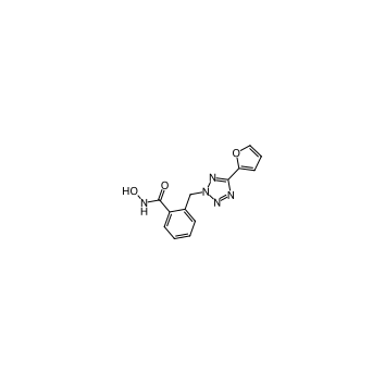 O=C(NO)c1ccccc1Cn1nnc(-c2ccco2)n1